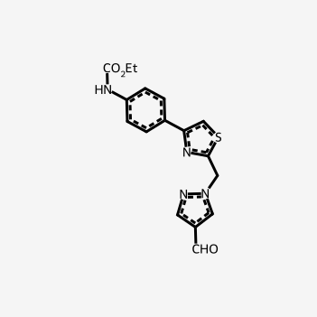 CCOC(=O)Nc1ccc(-c2csc(Cn3cc(C=O)cn3)n2)cc1